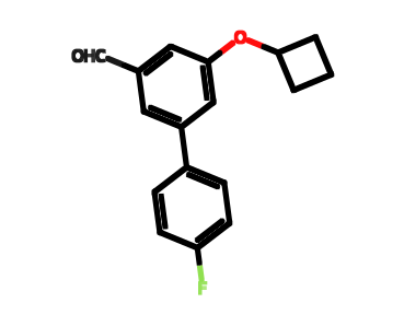 O=Cc1cc(OC2CCC2)cc(-c2ccc(F)cc2)c1